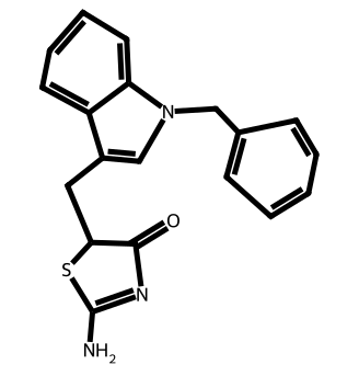 NC1=NC(=O)C(Cc2cn(Cc3ccccc3)c3ccccc23)S1